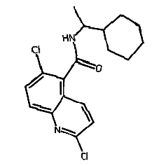 CC(NC(=O)c1c(Cl)ccc2nc(Cl)ccc12)C1CCCCC1